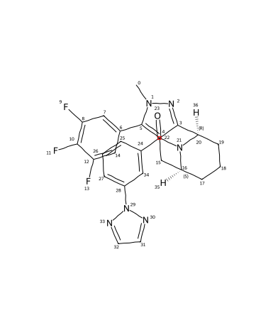 Cn1nc2c(c1-c1cc(F)c(F)c(F)c1)C[C@@H]1CCC[C@H]2N1C(=O)c1cccc(-n2nccn2)c1